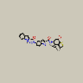 Cc1csc2c1C13C(=CC2=O)N(C(=O)c2cc4cc(NC(=O)c5cc6ccccc6n5C)ccc4n2C)CC1C3C